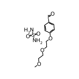 COCCOCCOc1ccc(I=O)cc1.NS(N)(=O)=O